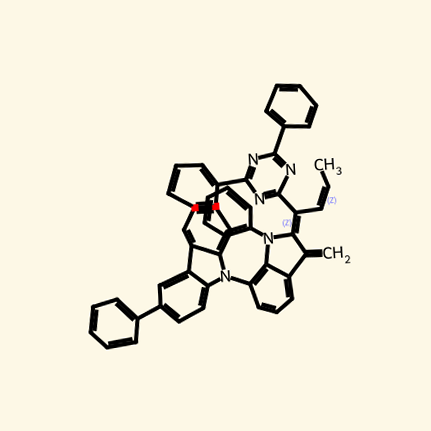 C=c1/c(=C(\C=C/C)c2nc(-c3ccccc3)nc(-c3ccccc3)n2)n(-c2ccccc2)c2c(-n3c4ccccc4c4cc(-c5ccccc5)ccc43)cccc12